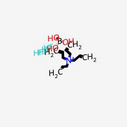 C=CC[N+](CC=C)(CC=C)CC=C.F.F.F.F.OB(O)O